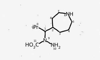 C[C](C)C(C1CCCNCC1)N(N)C(=O)O